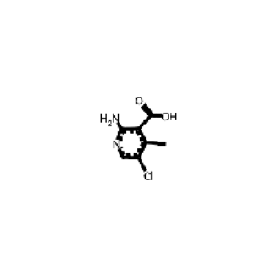 Cc1c(Cl)cnc(N)c1C(=O)O